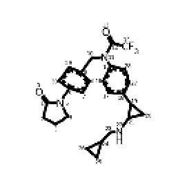 O=C1CCCN1c1ccc(CN(C(=O)C(F)(F)F)c2ccc(C3CC3NCC3CC3)cc2)cc1